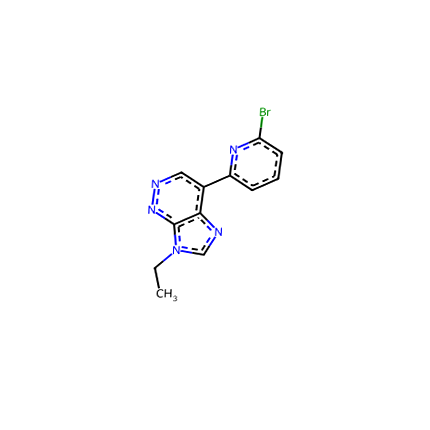 CCn1cnc2c(-c3cccc(Br)n3)cnnc21